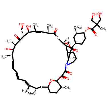 CO[C@H]1CC2CC[C@@H](C)[C@@](O)(O2)C(=O)C(=O)N2CCCC3[C@H]2C(=O)O[C@@H](CC(=O)[C@H](C)/C=C(\C)C(O)[C@@H](CO)C(=O)[C@H](C)C(O)[C@H](C)/C=C/C=C/C=C/1C)[C@H]3C[C@@H]1CC[C@@H](OC(=O)C(C)(CO)CO)[C@H](OC)C1